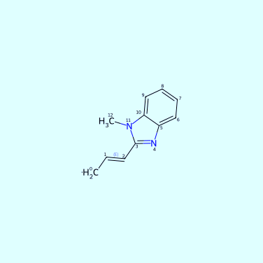 [CH2]/C=C/c1nc2ccccc2n1C